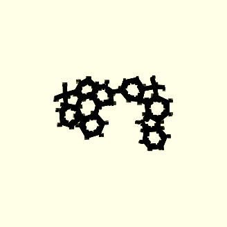 CC1(C)c2ccc(-c3nc(-c4ccccc4)c4c5c(ccc4n3)C(C)(C)c3ccccc3-5)cc2-c2c1ccc1c2sc2ccccc21